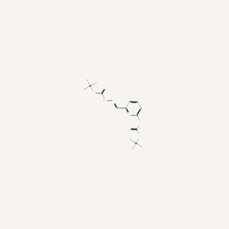 CC(C)(C)OC(=O)N/N=C/c1cccc(NC(=O)OC(C)(C)C)n1